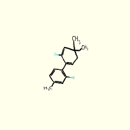 Cc1ccc(C2=CCC(C)(C)C=C2F)c(F)c1